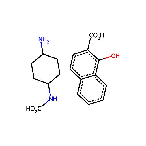 NC1CCC(NC(=O)O)CC1.O=C(O)c1ccc2ccccc2c1O